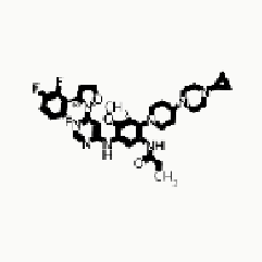 C=CC(=O)Nc1cc(Nc2cc(N3OCC[C@@H]3c3c(F)ccc(F)c3F)ncn2)c(OC)cc1N1CCC(N2CCN(C3CC3)CC2)CC1